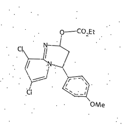 CCOC(=O)OC1CC(c2ccc(OC)cc2)N2C=C(Cl)C=C(Cl)C2=N1